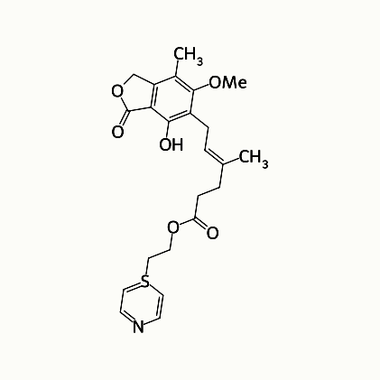 COc1c(C)c2c(c(O)c1C/C=C(\C)CCC(=O)OCCS1=CC=NC=C1)C(=O)OC2